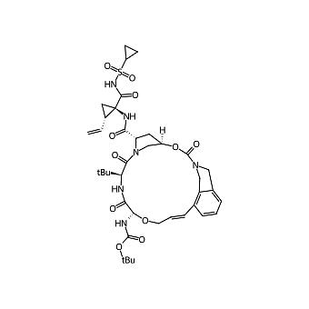 C=C[C@@H]1C[C@]1(NC(=O)[C@@H]1C[C@@H]2CN1C(=O)[C@H](C(C)(C)C)NC(=O)[C@@H](NC(=O)OC(C)(C)C)OC/C=C/c1cccc3c1CN(C3)C(=O)O2)C(=O)NS(=O)(=O)C1CC1